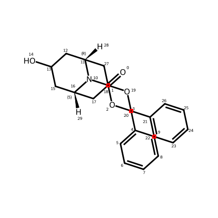 O=C(OCc1ccccc1)N1[C@@H]2CC(O)C[C@H]1CC(OCc1ccccc1)C2